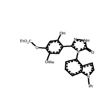 CCOC(=O)Oc1cc(O)c(-c2n[nH]c(=O)n2-c2cccc3c2ccn3C(C)C)cc1OC